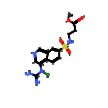 CC(C)(C)OC(=O)CCNS(=O)(=O)c1ccc2c(N(Cl)C(=N)N)cncc2c1